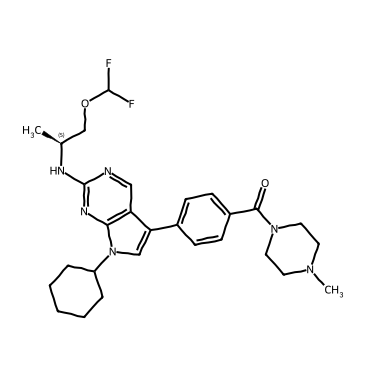 C[C@@H](COC(F)F)Nc1ncc2c(-c3ccc(C(=O)N4CCN(C)CC4)cc3)cn(C3CCCCC3)c2n1